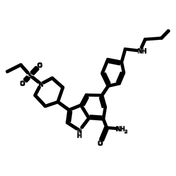 CCCNCc1ccc(-c2cc(C(N)=O)c3[nH]cc(C4CCN(S(=O)(=O)CC)CC4)c3c2)cc1